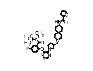 CCN(C(=O)c1cc(F)ccc1Oc1nncnc1N1CC[C@@H](CN2CCC3(CCC(NC(=O)c4ccco4)CC3)CC2)C1)C(C)C